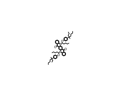 CCCCC(Oc1ccc(C(C)(CC)CCCC)cc1)n1c2ccccc2c(=O)c2cc3c(cc21)c(=O)c1ccccc1n3C(CCCC)Oc1ccc(C(C)(CCC)CCCC)cc1